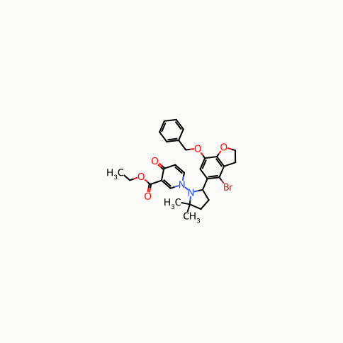 CCOC(=O)c1cn(N2C(c3cc(OCc4ccccc4)c4c(c3Br)CCO4)CCC2(C)C)ccc1=O